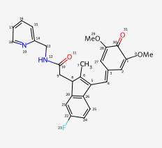 COC1=CC(=CC2=C(C)C(CC(=O)NCc3ccccn3)c3cc(F)ccc32)C=C(OC)C1=O